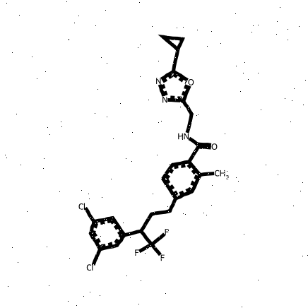 Cc1cc(CCC(c2cc(Cl)cc(Cl)c2)C(F)(F)F)ccc1C(=O)NCc1nnc(C2CC2)o1